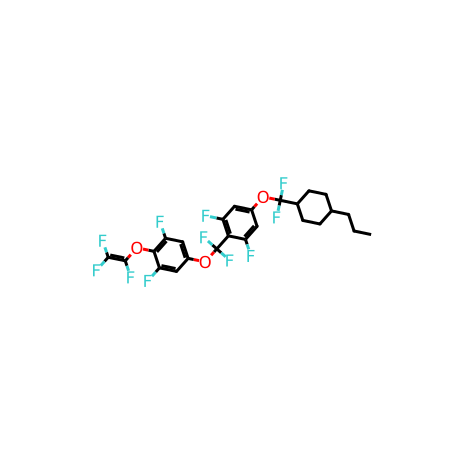 CCCC1CCC(C(F)(F)Oc2cc(F)c(C(F)(F)Oc3cc(F)c(OC(F)=C(F)F)c(F)c3)c(F)c2)CC1